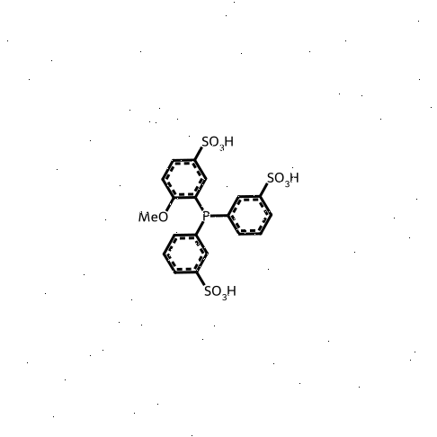 COc1ccc(S(=O)(=O)O)cc1P(c1cccc(S(=O)(=O)O)c1)c1cccc(S(=O)(=O)O)c1